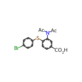 CC(=O)N(C(C)=O)c1cc(C(=O)O)ccc1Sc1ccc(Br)cc1